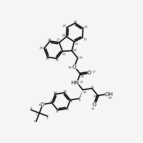 CC(C)(C)Oc1ccc(C[C@@H](CC(=O)O)NC(=O)OCC2c3ccccc3-c3ccccc32)cc1